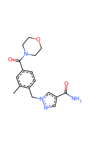 Cc1cc(C(=O)N2CCOCC2)ccc1Cn1cc(C(N)=O)cn1